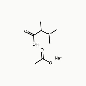 CC(=O)[O-].CC(C(=O)O)N(C)C.[Na+]